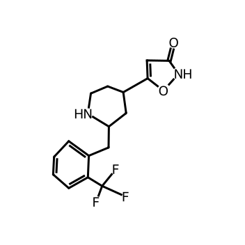 O=c1cc(C2CCNC(Cc3ccccc3C(F)(F)F)C2)o[nH]1